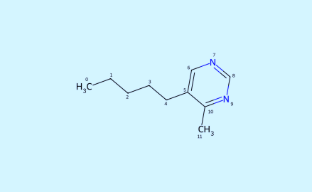 CCCCCc1cncnc1C